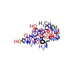 CC(C)C[C@H](NC(=O)[C@H](Cc1c[nH]c2ccccc12)NC(=O)[C@H](CC(=O)O)NC(=O)[C@H](CCC(N)=O)NC(=O)CNC(=O)[C@@H]1C[C@@H](O)CN1)C(=O)N[C@@H](C)C(=O)NCC(=O)N1CCC[C@H]1C(=O)N[C@@H](CCCCN)C(=O)O